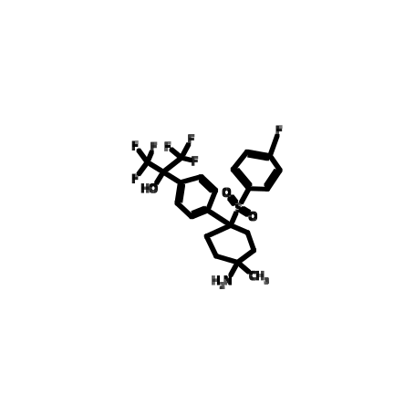 CC1(N)CCC(c2ccc(C(O)(C(F)(F)F)C(F)(F)F)cc2)(S(=O)(=O)c2ccc(F)cc2)CC1